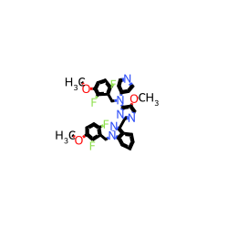 COc1cnc(-c2nn(Cc3c(F)ccc(OC)c3F)c3ccccc23)nc1N(Cc1c(F)ccc(OC)c1F)c1ccncc1